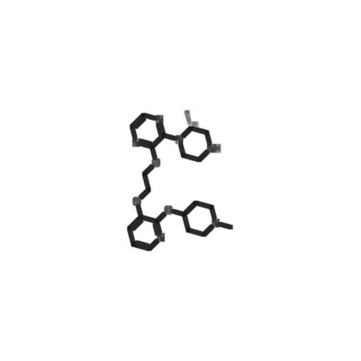 C[C@@H]1CNCCN1c1nccnc1OCCOc1cccnc1OC1CCN(C)CC1